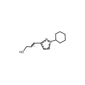 OC/C=C/c1c[c]n(C2CCCCC2)n1